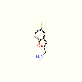 NCc1cc2cc(F)ccc2o1